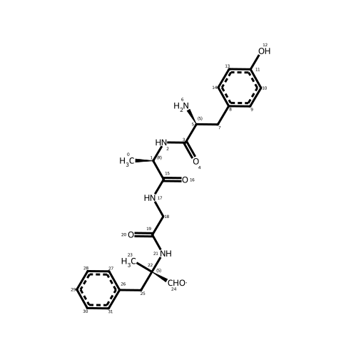 C[C@@H](NC(=O)[C@@H](N)Cc1ccc(O)cc1)C(=O)NCC(=O)N[C@](C)([C]=O)Cc1ccccc1